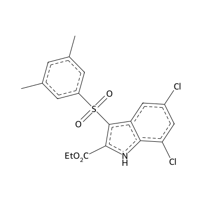 CCOC(=O)c1[nH]c2c(Cl)cc(Cl)cc2c1S(=O)(=O)c1cc(C)cc(C)c1